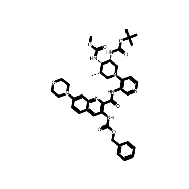 COC(=O)N[C@H]1[C@@H](C)CN(c2ccncc2NC(=O)c2nc3cc(N4CCOCC4)ccc3cc2NC(=O)OCc2ccccc2)C[C@H]1NC(=O)OC(C)(C)C